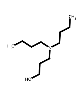 CCCCN([CH]CCO)CCCC